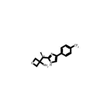 C[C@@H](c1nc(-c2ccc(C(F)(F)F)cc2)c[nH]1)C1(N)COC1